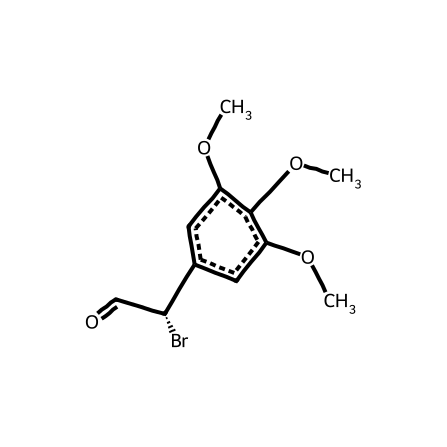 COc1cc([C@H](Br)C=O)cc(OC)c1OC